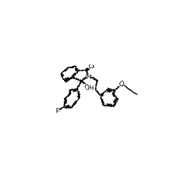 COc1cccc(CCN2C(=O)c3ccccc3C2(O)c2ccc(F)cc2)c1